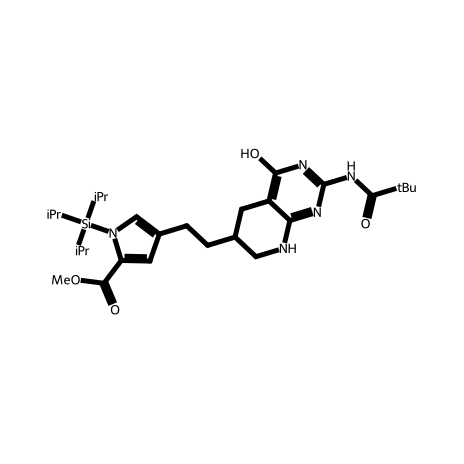 COC(=O)c1cc(CCC2CNc3nc(NC(=O)C(C)(C)C)nc(O)c3C2)cn1[Si](C(C)C)(C(C)C)C(C)C